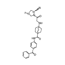 N#C[C@@H]1C[C@H](F)CN1C(=O)CNC12CCC(C(=O)Nc3ccc(C(=O)c4ccccc4)cc3)(CC1)CC2